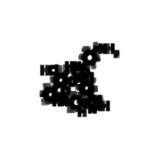 Cl.NCC1CCC(C(=O)N[C@@H](Cc2ccc(-c3ccccc3C(=O)NC3CCNCC3)cc2)C(=O)Nc2ccc(-c3nn[nH]n3)cc2)CC1